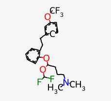 CN(C)CCCC(Oc1ccccc1CCc1cccc(OC(F)(F)F)c1)OC(F)F